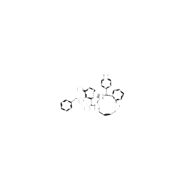 O=C1c2c(OCc3ccccc3)c(=O)ccn2N2CN1C/C=C\COc1ccccc1[C@@H]2c1ccncc1